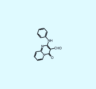 O=Cc1c(Nc2ccccc2)nc2ccccn2c1=O